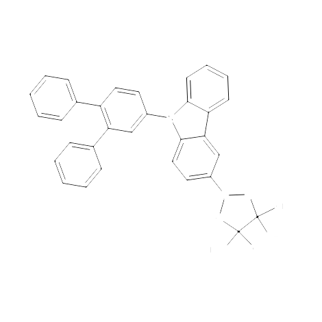 CC1(C)OB(c2ccc3c(c2)c2ccccc2n3-c2ccc(-c3ccccc3)c(-c3ccccc3)c2)OC1(C)C